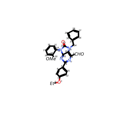 CCOc1ccc(-c2nc(C=O)c3c(n2)n(-c2ccccc2OC)c(=O)n3Cc2ccccc2)cc1